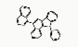 c1ccc(-n2c3ccccc3c3cc(-c4cccc5ccccc45)c4ccccc4c32)cc1